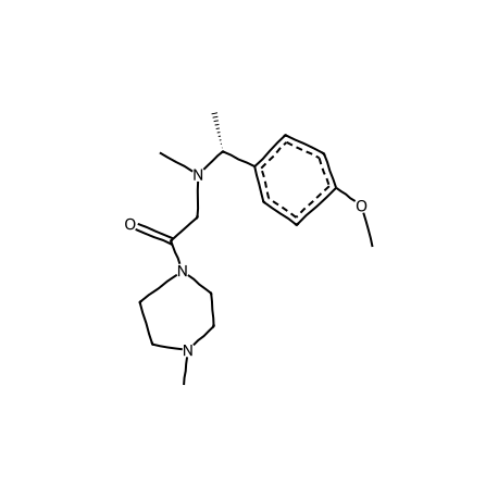 COc1ccc([C@@H](C)N(C)CC(=O)N2CCN(C)CC2)cc1